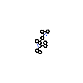 c1ccc2c(-c3cc(-c4cccc5ccccc45)c4cc(-c5ccc(-c6nc7ccccc7c7ccccc67)cc5)c5ccccc5c4n3)cccc2c1